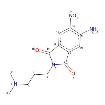 CN(C)CCCN1C(=O)c2cc(N)c([N+](=O)[O-])cc2C1=O